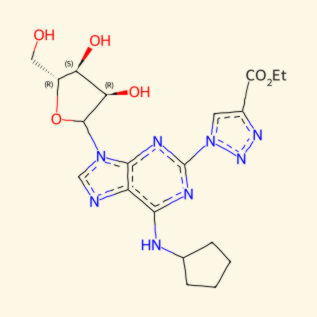 CCOC(=O)c1cn(-c2nc(NC3CCCC3)c3ncn(C4O[C@H](CO)[C@@H](O)[C@H]4O)c3n2)nn1